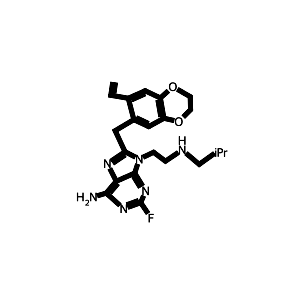 C=Cc1cc2c(cc1Cc1nc3c(N)nc(F)nc3n1CCNCC(C)C)OCCO2